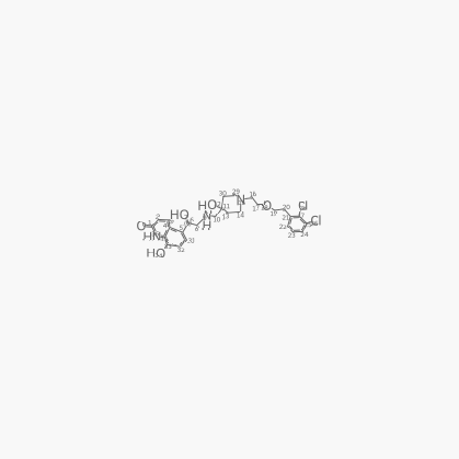 O=c1ccc2c([C@@H](O)CNCC3(O)CCN(CCOCCc4cccc(Cl)c4Cl)CC3)ccc(O)c2[nH]1